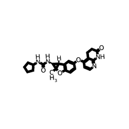 CC12Oc3ccc(Oc4ccnc5c4CCC(=O)N5)cc3[C@H]1[C@@H]2NC(=O)NC1CCCC1